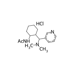 CC(=O)NC1CCCCC1C(c1cccnc1)N(C)C.Cl